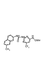 CONc1cc(C(F)(F)F)nc(NC(=O)Nc2ccc3ccc(C)cc3c2)n1